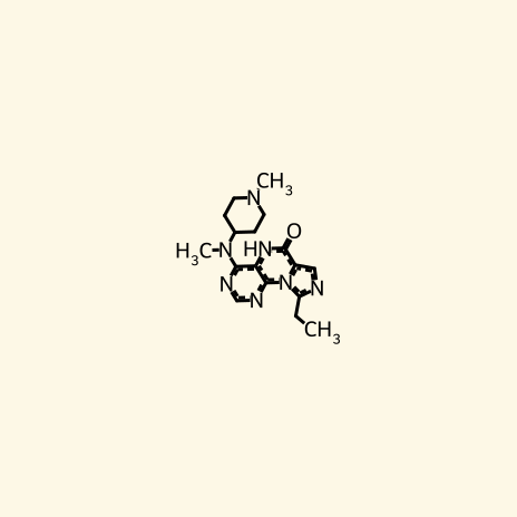 CCc1ncc2c(=O)[nH]c3c(N(C)C4CCN(C)CC4)ncnc3n12